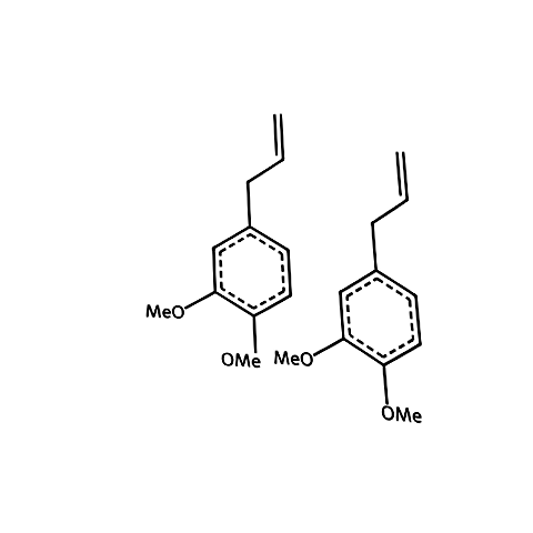 C=CCc1ccc(OC)c(OC)c1.C=CCc1ccc(OC)c(OC)c1